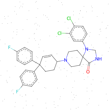 O=C1NCN(c2ccc(Cl)c(Cl)c2)C12CCN(C1C=CC(c3ccc(F)cc3)(c3ccc(F)cc3)CC1)CC2